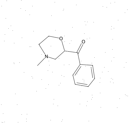 CN1CCOC(C(=O)c2ccccc2)C1